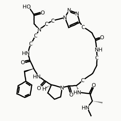 CN[C@@H](C)C(=O)N[C@H]1CCCCNC(=O)CCc2cn(nn2)CCN(CC(=O)O)CCNC(=O)[C@H](Cc2ccccc2)NC(=O)[C@@H]2CCCN2C1=O